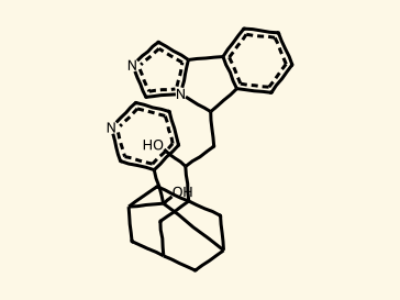 OC(CC1c2ccccc2-c2cncn21)C12CC3CC(C1)C(O)(c1cccnc1)C(C3)C2